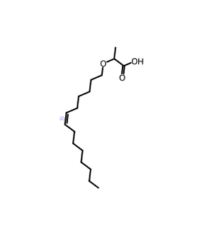 CCCCCCC/C=C\CCCCCOC(C)C(=O)O